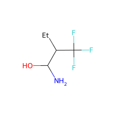 CCC(C(N)O)C(F)(F)F